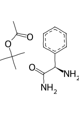 CC(=O)OC(C)(C)C.NC(=O)[C@H](N)c1ccccc1